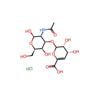 CC(=O)N[C@H]1[C@@H](OC2OC(C(=O)O)=C[C@@H](O)[C@H]2O)[C@@H](O)[C@@H](CO)O[C@H]1O.Cl